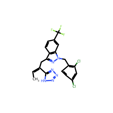 CC=C(Cc1nn(Cc2ccc(Cl)cc2Cl)c2cc(C(F)(F)F)ccc12)c1nnn[nH]1